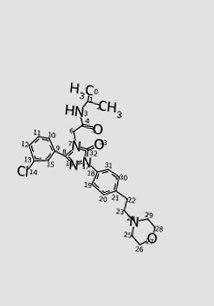 CC(C)NC(=O)Cn1c(-c2cccc(Cl)c2)nn(-c2ccc(CCN3CCOCC3)cc2)c1=O